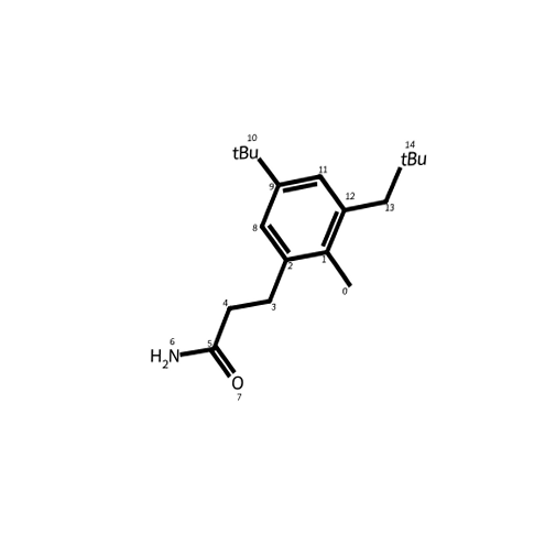 Cc1c(CCC(N)=O)cc(C(C)(C)C)cc1CC(C)(C)C